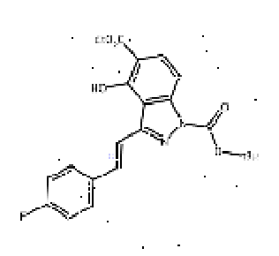 CCOC(=O)c1ccc2c(c(/C=C/c3ccc(F)cc3)nn2C(=O)OC(C)(C)C)c1O